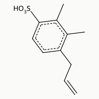 C=CCc1ccc(S(=O)(=O)O)c(C)c1C